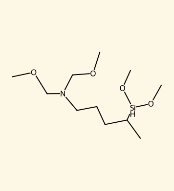 COCN(CCCC(C)[SiH](OC)OC)COC